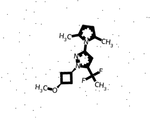 CO[C@H]1C[C@@H](n2nc(-n3c(C)ccc3C)cc2C(C)(F)F)C1